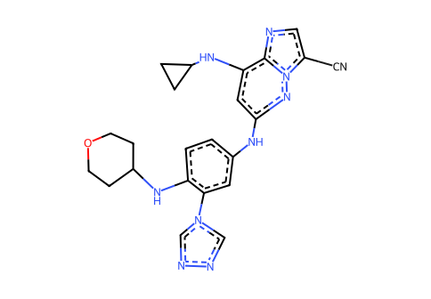 N#Cc1cnc2c(NC3CC3)cc(Nc3ccc(NC4CCOCC4)c(-n4cnnc4)c3)nn12